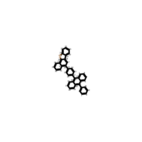 c1ccc(-c2c3ccccc3c(-c3ccc(-c4cc5c6ccccc6sc5c5ccccc45)cc3)c3ccccc23)cc1